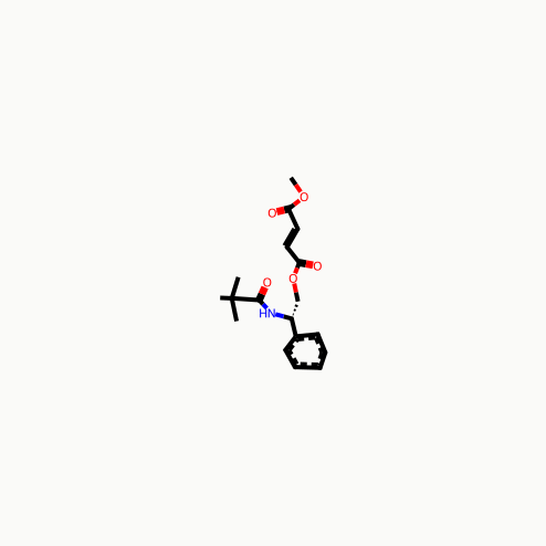 COC(=O)/C=C/C(=O)OC[C@@H](NC(=O)C(C)(C)C)c1ccccc1